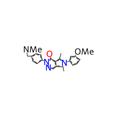 CNCc1ccc(-n2ncc3c(C)n(-c4cccc(OC)c4)c(C)c3c2=O)cc1